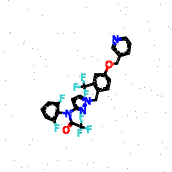 O=C(N(c1ccn(Cc2ccc(OCc3cccnc3)cc2C(F)(F)F)n1)c1c(F)cccc1F)C(F)(F)F